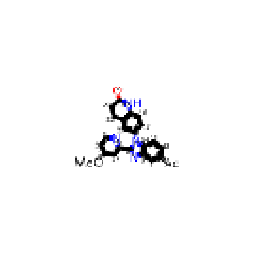 COc1ccnc(-c2nc3cc(C(C)=O)ccc3n2-c2ccc3c(c2)CCC(=O)N3)c1